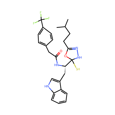 CC(C)CCC1=NNC(S)([C@H](Cc2c[nH]c3ccccc23)NC(=O)Cc2ccc(C(F)(F)F)cc2)O1